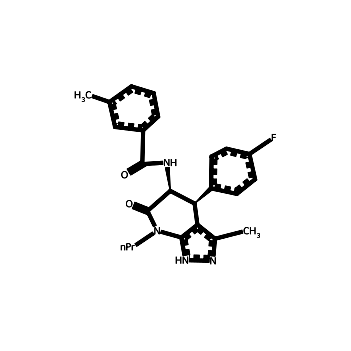 CCCN1C(=O)[C@@H](NC(=O)c2cccc(C)c2)[C@@H](c2ccc(F)cc2)c2c(C)n[nH]c21